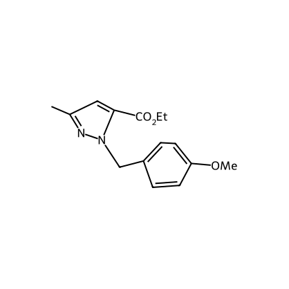 CCOC(=O)c1cc(C)nn1Cc1ccc(OC)cc1